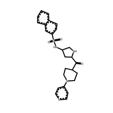 O=C(C1CCN(c2ccncc2)CC1)C1CC(NS(=O)(=O)c2ccc3ccccc3c2)CN1